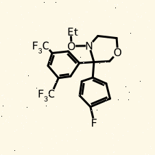 CCON1CCOCC1(c1ccc(F)cc1)c1cc(C(F)(F)F)cc(C(F)(F)F)c1